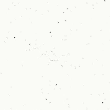 NOC(N)C(O)C(O)C(O)C(O)CO